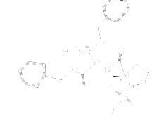 C[C@@H](OCc1ccccc1)[C@@H](C(=O)OCc1ccccc1)N1C[C@]2(CCCN2S(C)(=O)=O)C1=O